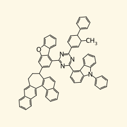 CC1C=C(c2nc(-c3cc(C4CCc5cc6ccccc6cc5-c5c4ccc4ccccc54)cc4oc5ccccc5c34)nc(-c3cccc4c3c3ccccc3n4-c3ccccc3)n2)C=CC1c1ccccc1